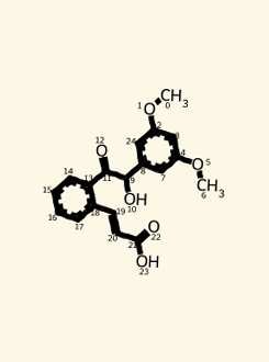 COc1cc(OC)cc(C(O)C(=O)c2ccccc2C=CC(=O)O)c1